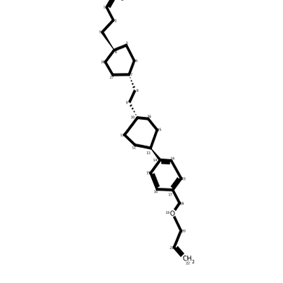 C=CCC[C@H]1CC[C@H](CC[C@H]2CC[C@H](c3ccc(COCC=C)cc3)CC2)CC1